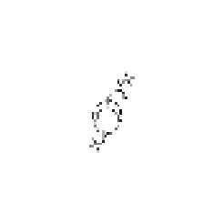 CC(C)(C)CN1CCN2CCCN(CCN(CC(=O)OC(C)(C)C)CC2)CC1